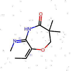 C/C=C1/OCC(C)(C)C(=O)N/C1=N/C